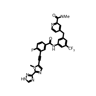 CNC(=O)c1cc(Cc2cc(NC(=O)c3ccc(F)c(C#Cc4cnc(-c5nc[nH]n5)n4C)c3)cc(C(F)(F)F)c2)ccn1